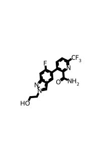 NC(=O)c1nc(C(F)(F)F)ccc1-c1cc2cn(CCO)nc2cc1F